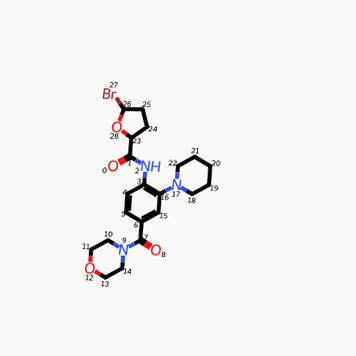 O=C(Nc1ccc(C(=O)N2CCOCC2)cc1N1CCCCC1)C1CCC(Br)O1